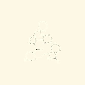 O=C(c1ncn(CC2(O)CCCCC2)c1-c1ccccc1)N1CCNC[C@H]1CCn1[nH]c(=O)c2ccccc21